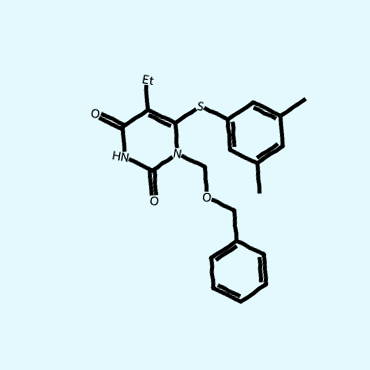 CCc1c(Sc2cc(C)cc(C)c2)n(COCc2ccccc2)c(=O)[nH]c1=O